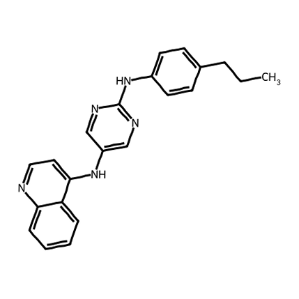 CCCc1ccc(Nc2ncc(Nc3ccnc4ccccc34)cn2)cc1